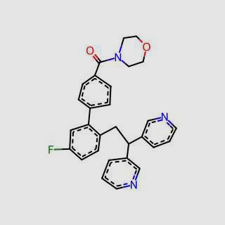 O=C(c1ccc(-c2cc(F)ccc2CC(c2cccnc2)c2cccnc2)cc1)N1CCOCC1